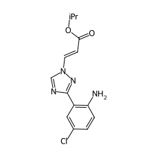 CC(C)OC(=O)C=Cn1cnc(-c2cc(Cl)ccc2N)n1